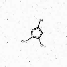 Cc1cc(S)oc1C=O